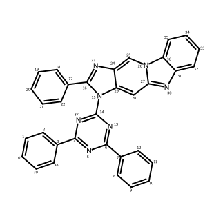 c1ccc(-c2nc(-c3ccccc3)nc(-n3c(-c4ccccc4)nc4cn5c(cc43)nc3ccccc35)n2)cc1